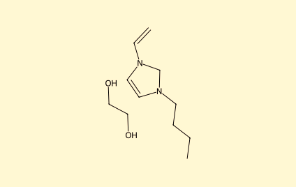 C=CN1C=CN(CCCC)C1.OCCO